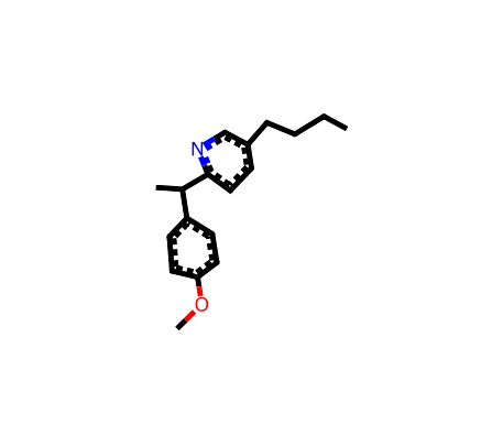 CCCCc1ccc(C(C)c2ccc(OC)cc2)nc1